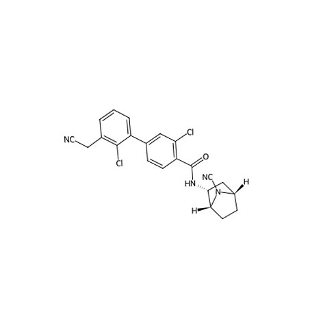 N#CCc1cccc(-c2ccc(C(=O)N[C@@H]3C[C@@H]4CC[C@H]3N4C#N)c(Cl)c2)c1Cl